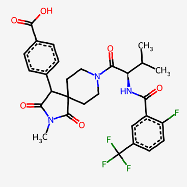 CC(C)[C@@H](NC(=O)c1cc(C(F)(F)F)ccc1F)C(=O)N1CCC2(CC1)C(=O)N(C)C(=O)C2c1ccc(C(=O)O)cc1